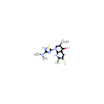 CCOC(=O)c1cn(-c2nc(N(C)C)ns2)c2nc(Cl)c(F)cc2c1=O